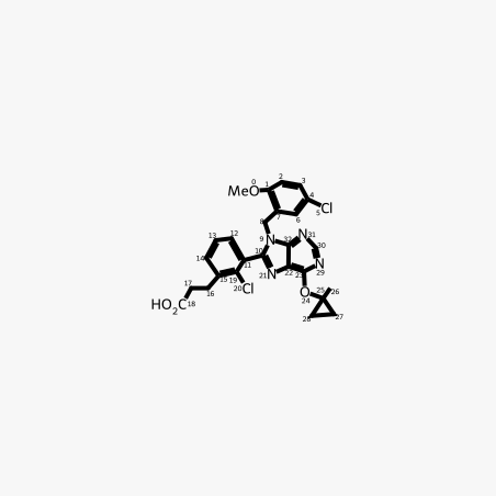 COc1ccc(Cl)cc1Cn1c(-c2cccc(CCC(=O)O)c2Cl)nc2c(OC3(C)CC3)ncnc21